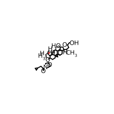 C[C@@H]1CC(CO)OC2[C@H]1C1(C)CCC34CC35CCC(O[C@H]3CN(C(=O)CC6CC6)CCO3)C(C)(C)[C@@H]5CCC4[C@]1(C)[C@H]2O